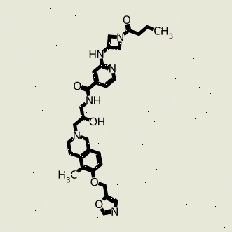 CCCC(=O)N1CC(Nc2cc(C(=O)NCC(O)CN3CCc4c(ccc(OCc5cnco5)c4C)C3)ccn2)C1